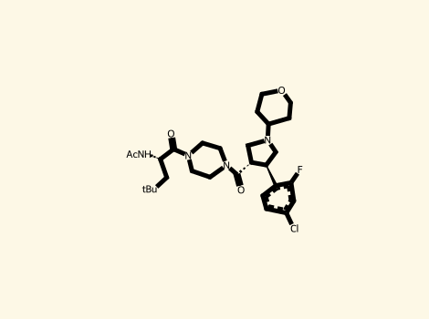 CC(=O)N[C@@H](CC(C)(C)C)C(=O)N1CCN(C(=O)[C@@H]2CN(C3CCOCC3)C[C@H]2c2ccc(Cl)cc2F)CC1